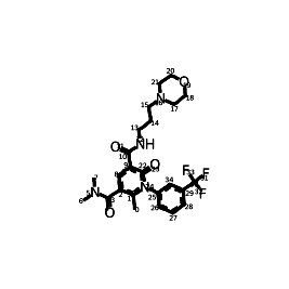 Cc1c(C(=O)N(C)C)cc(C(=O)NCCCN2CCOCC2)c(=O)n1-c1cccc(C(F)(F)F)c1